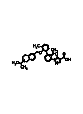 Cc1cccc(-c2cccc3[n+]2C(C)Oc2c(C(=O)O)cnn2-3)c1OCc1ccc2c(c1)CCN(C(C)C)C2